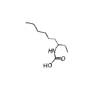 CCCCCCC(CC)NC(=O)O